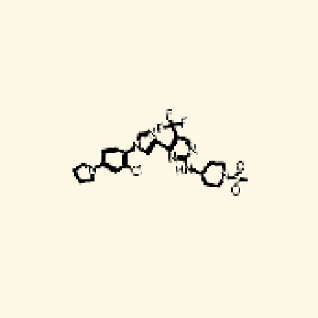 CS(=O)(=O)N1CCC(Nc2ncc(C(F)(F)F)c(-c3cn(-c4ccc(N5CCCC5)cc4Cl)cn3)n2)CC1